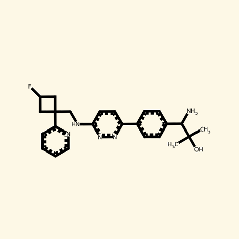 CC(C)(O)C(N)c1ccc(-c2ccc(NCC3(c4ccccn4)CC(F)C3)nn2)cc1